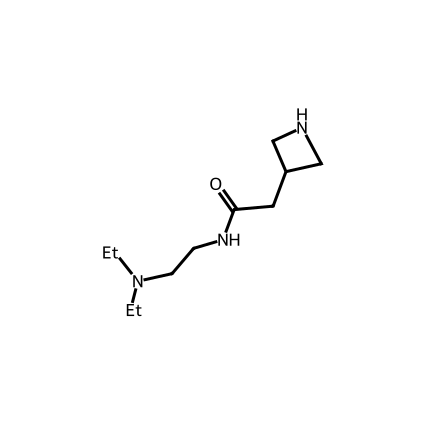 CCN(CC)CCNC(=O)CC1CNC1